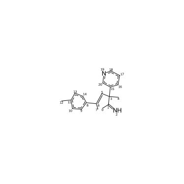 CC(=N)C(C)(/C=C(\C)c1ccc(C)cc1)c1cccnc1